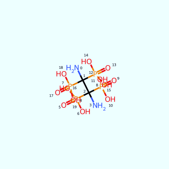 NC(C(N)(P(=O)(O)O)P(=O)(O)O)(P(=O)(O)O)P(=O)(O)O